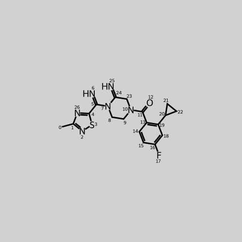 Cc1nsc(C(=N)N2CCN(C(=O)c3ccc(F)cc3C3CC3)CC2=N)n1